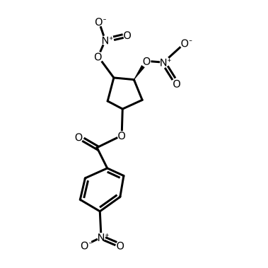 O=C(OC1CC(O[N+](=O)[O-])[C@@H](O[N+](=O)[O-])C1)c1ccc([N+](=O)[O-])cc1